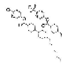 CCC1CCC(C(=O)Oc2ccc(C(F)(F)F)nc2)CC1.CCCCCCCCC1CCC(C2CCC(C(=O)Oc3ccc(Cl)nc3)CC2)CC1